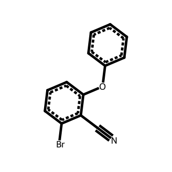 N#Cc1c(Br)cccc1Oc1ccccc1